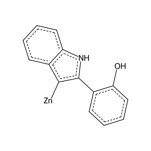 Oc1ccccc1-c1[nH]c2ccccc2[c]1[Zn]